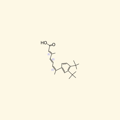 C/C(=C/C=C/C(C)=C/C(=O)O)c1ccc(C(C)(C)C)c(C(C)(C)C)c1